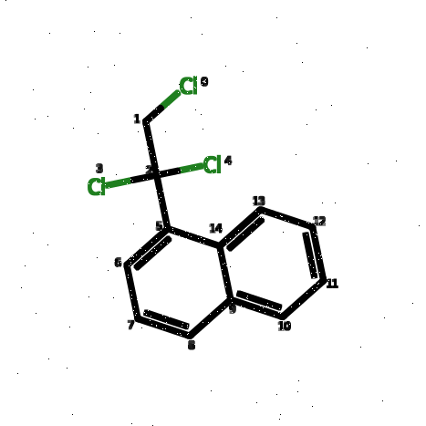 ClCC(Cl)(Cl)c1cccc2ccccc12